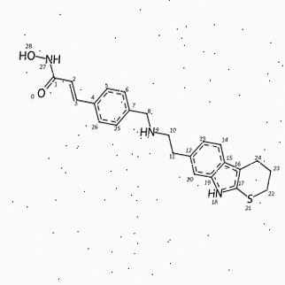 O=C(/C=C/c1ccc(CNCCc2ccc3c4c([nH]c3c2)SCCC4)cc1)NO